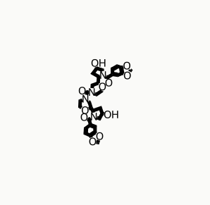 O=C(N1CCOC(C2CC(O)CN2C(=O)c2ccc3c(c2)OCO3)C1)N1CCOC(C2CC(O)CN2C(=O)c2ccc3c(c2)OCO3)C1